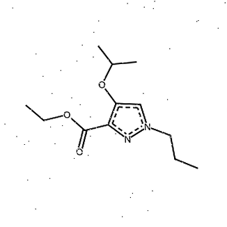 CCCn1cc(OC(C)C)c(C(=O)OCC)n1